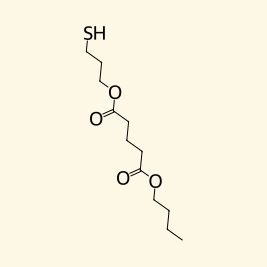 CCCCOC(=O)CCCC(=O)OCCCS